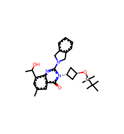 Cc1cc(C(C)O)c2nc(N3Cc4ccccc4C3)n([C@H]3C[C@H](O[Si](C)(C)C(C)(C)C)C3)c(=O)c2c1